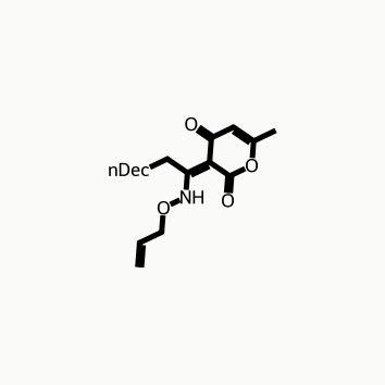 C=CCONC(CCCCCCCCCCC)=C1C(=O)C=C(C)OC1=O